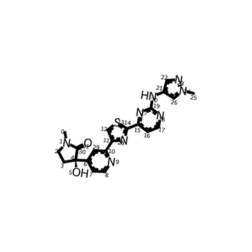 CN1CC[C@@](O)(c2ccnc(-c3csc(-c4ccnc(Nc5cnn(C)c5)n4)n3)c2)C1=O